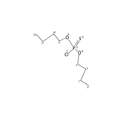 CCCCOP(=S)(Cl)OCCCC